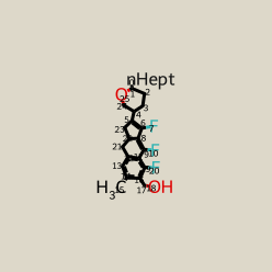 CCCCCCCC1CCC(C2=C(F)C3=C(F)c4c(cc(C)c(CO)c4F)CC3C2)CO1